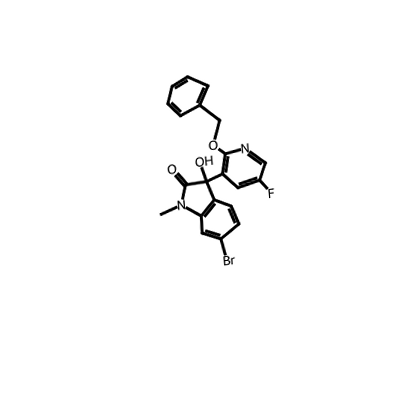 CN1C(=O)C(O)(c2cc(F)cnc2OCc2ccccc2)c2ccc(Br)cc21